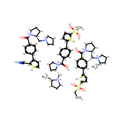 CCS(=O)(=O)c1ccc(-c2ccc(C(=O)N3CCC[C@H]3CN3CCC[C@H]3C)cc2)s1.C[C@@H]1CCCN1C[C@@H]1CCCN1C(=O)c1ccc(-c2ccc(S(C)(=O)=O)s2)cc1.N#Cc1sccc1-c1ccc(C(=O)N2CCC[C@H]2CN2CCCC2)cc1